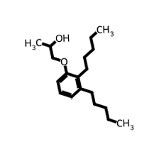 CCCCCc1[c]ccc(OCC(C)O)c1CCCCC